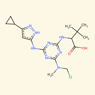 CN(CCl)c1nc(Nc2cc(C3CC3)n[nH]2)nc(NC(C(=O)O)C(C)(C)C)n1